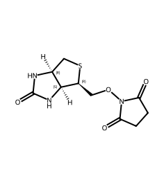 O=C1N[C@H]2[C@H](CS[C@H]2CON2C(=O)CCC2=O)N1